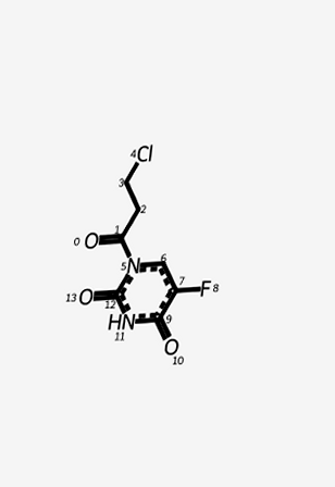 O=C(CCCl)n1cc(F)c(=O)[nH]c1=O